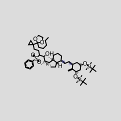 C=C1/C(=C\C=C2/CCC[C@]3(C)[C@@H]([C@H](C)C(O)C(CCC4(C5(CCCCC)OCCO5)CC4)S(=O)(=O)c4ccccc4)CC[C@@H]23)C[C@@H](O[Si](C)(C)C(C)(C)C)C[C@@H]1O[Si](C)(C)C(C)(C)C